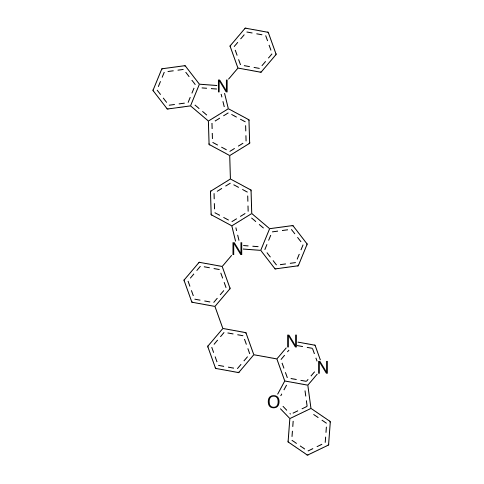 c1ccc(-n2c3ccccc3c3cc(-c4ccc5c(c4)c4ccccc4n5-c4cccc(-c5cccc(-c6ncnc7c6oc6ccccc67)c5)c4)ccc32)cc1